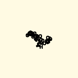 CC(C)CC(NC(=O)Oc1ccc2c(c1)OCO2)C(=O)N1CCC2C1C(=O)CN2S(=O)(=O)c1ccc[n+]([O-])c1